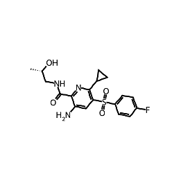 C[C@H](O)CNC(=O)c1nc(C2CC2)c(S(=O)(=O)c2ccc(F)cc2)cc1N